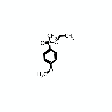 CCOP(C)(=O)c1ccc(OC)cc1